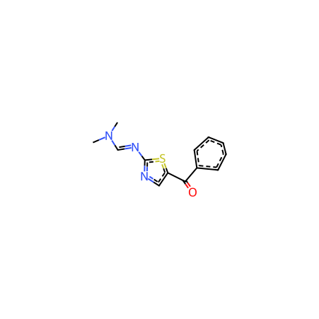 CN(C)/C=N/c1ncc(C(=O)c2ccccc2)s1